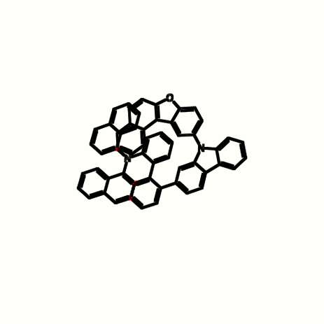 c1ccc(-c2ccccc2N(c2cccc3ccccc23)c2cccc3ccccc23)c(-c2ccc3c4ccccc4n(-c4ccc5oc6ccc7ccccc7c6c5c4)c3c2)c1